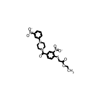 CCOC(=O)CSc1ccc(C(=O)N2CCN(c3cccc([N+](=O)[O-])c3)CC2)cc1[N+](=O)[O-]